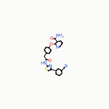 N#Cc1cccc(-c2csc(NC(=O)Cc3ccc(Oc4ncccc4C(N)=O)cc3)n2)c1